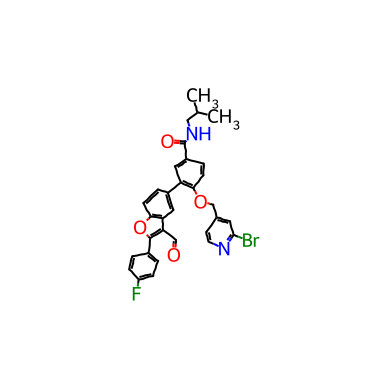 CC(C)CNC(=O)c1ccc(OCc2ccnc(Br)c2)c(-c2ccc3oc(-c4ccc(F)cc4)c(C=O)c3c2)c1